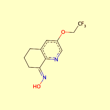 O/N=C1\CCCc2cc(OCC(F)(F)F)cnc21